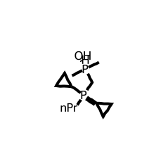 CCCP(C[PH](C)(C)O)(=C1CC1)C1CC1